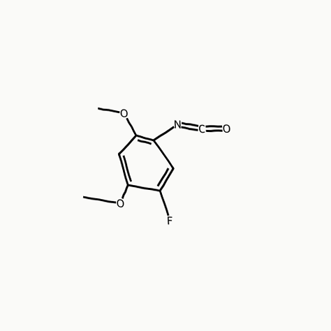 COc1cc(OC)c(N=C=O)cc1F